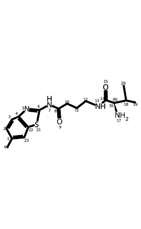 Cc1ccc2nc(NC(=O)CCCNC(=O)[C@H](N)C(C)C)sc2c1